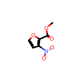 COC(=O)c1occc1[N+](=O)[O-]